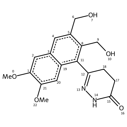 COc1cc2cc(CO)c(CO)c(C3=NNC(=O)CC3)c2cc1OC